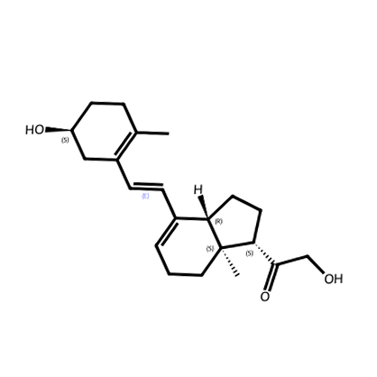 CC1=C(/C=C/C2=CCC[C@]3(C)[C@@H](C(=O)CO)CC[C@@H]23)C[C@@H](O)CC1